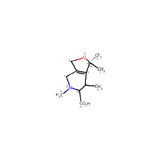 CC1C2=C(CO[C@]2(C)C(F)(F)F)CN(C)C1C(=O)O